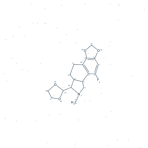 CN1CC2c3c(F)cc4c(c3CCC2C1C1OCCO1)OCO4